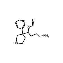 NCCCC(OC=O)C1(c2ccccc2)CCNCC1